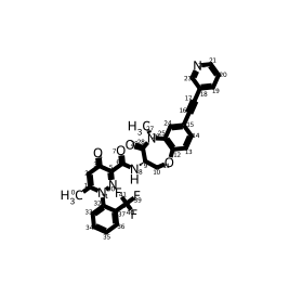 Cc1cc(=O)c(C(=O)N[C@H]2COc3ccc(C#Cc4cccnc4)cc3N(C)C2=O)nn1-c1ccccc1C(F)(F)F